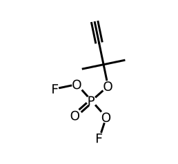 C#CC(C)(C)OP(=O)(OF)OF